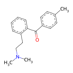 Cc1ccc(C(=O)c2ccccc2CCN(C)C)cc1